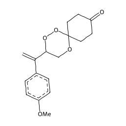 C=C(c1ccc(OC)cc1)C1COC2(CCC(=O)CC2)OO1